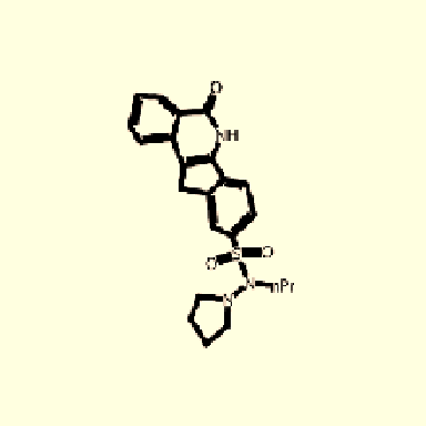 CCCN(N1CCCC1)S(=O)(=O)c1ccc2c(c1)Cc1c-2[nH]c(=O)c2ccccc12